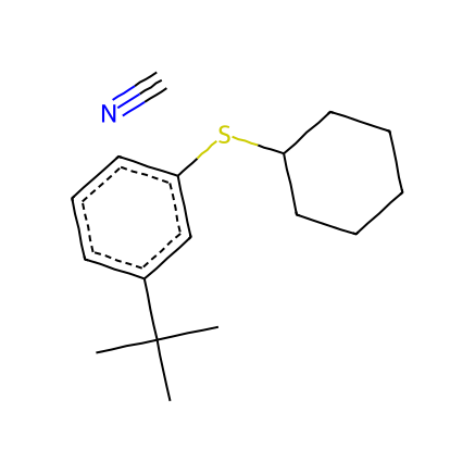 C#N.CC(C)(C)c1cccc(SC2CCCCC2)c1